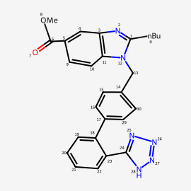 CCCCc1nc2cc(C(=O)OC)ccc2n1Cc1ccc(-c2ccccc2-c2nnn[nH]2)cc1